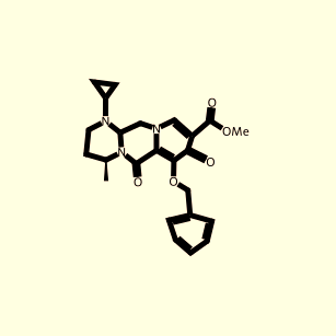 COC(=O)c1cn2c(c(OCc3ccccc3)c1=O)C(=O)N1C(C2)N(C2CC2)CC[C@@H]1C